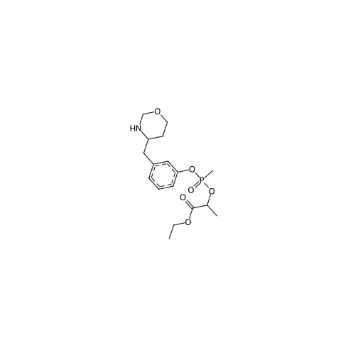 CCOC(=O)C(C)OP(C)(=O)Oc1cccc(CC2CCOCN2)c1